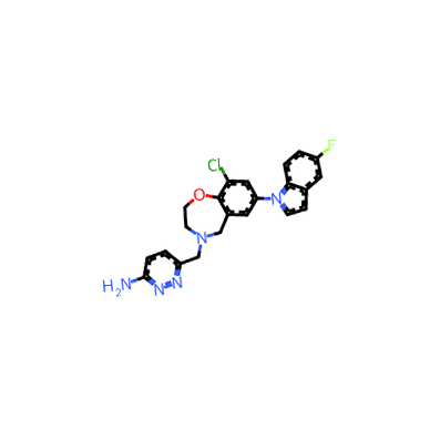 Nc1ccc(CN2CCOc3c(Cl)cc(-n4ccc5cc(F)ccc54)cc3C2)nn1